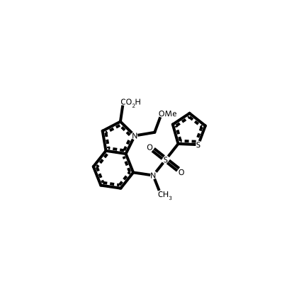 COCn1c(C(=O)O)cc2cccc(N(C)S(=O)(=O)c3cccs3)c21